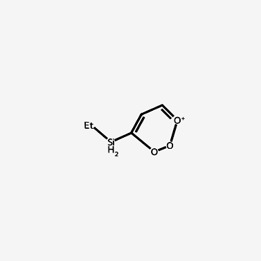 CC[SiH2]C1=CC=[O+]OO1